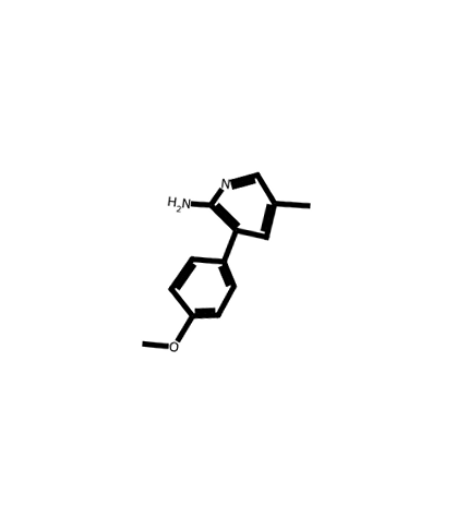 COc1ccc(-c2cc(C)cnc2N)cc1